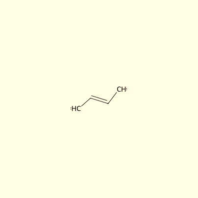 [CH]/C=C/[CH]